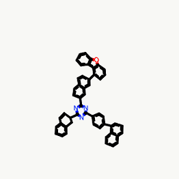 C1=CC(c2nc(-c3ccc(-c4cccc5ccccc45)cc3)nc(-c3ccc4ccc(-c5cccc6oc7ccccc7c56)cc4c3)n2)Cc2ccccc21